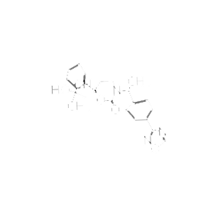 C[C@@H](c1ccc(-c2ncon2)cc1)N1CC[C@](CC(C)(C)O)(c2ccccc2)OC1=O